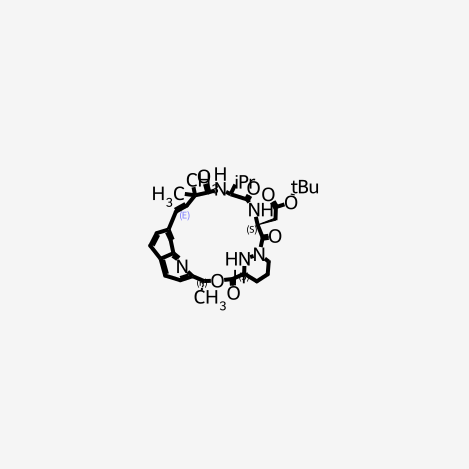 CC(C)C1NC(=O)C(C)(C)/C=C/c2ccc3ccc(nc3c2)[C@@H](C)OC(=O)[C@@H]2CCCN(N2)C(=O)[C@H](CC(=O)OC(C)(C)C)NC1=O